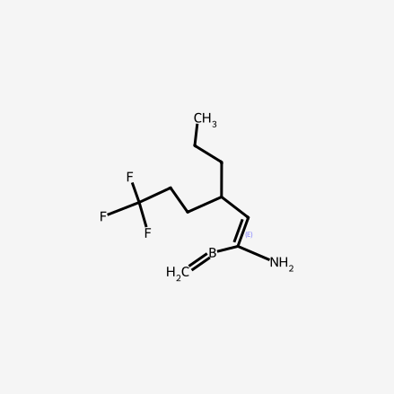 C=B/C(N)=C\C(CCC)CCC(F)(F)F